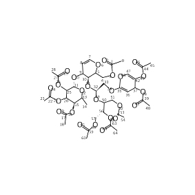 CC(=O)OCC1OC=CC(O[C@@H]2OC(C)[C@@H](OC(C)=O)C(OC(C)=O)C2OC(C)=O)[C@@H]1O[C@@H](COC1=CC(OC(C)=O)C(OC(C)=O)=CO1)OC(COC(C)=O)[C@@H](COC(C)=O)OC(C)=O